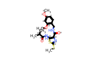 COc1ccc(CNC(=O)c2nc(SC)sc2NC(=O)C(C)C)c(OC)c1